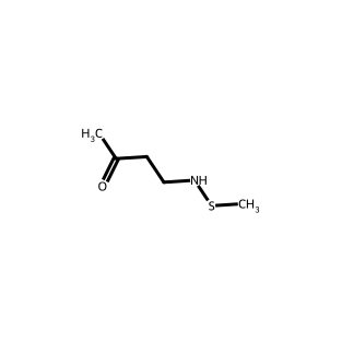 CSNCCC(C)=O